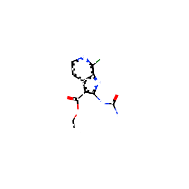 CCOC(=O)c1c(NC(N)=O)[nH]c2c(Cl)nccc12